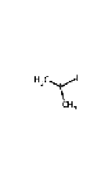 CI(C)I